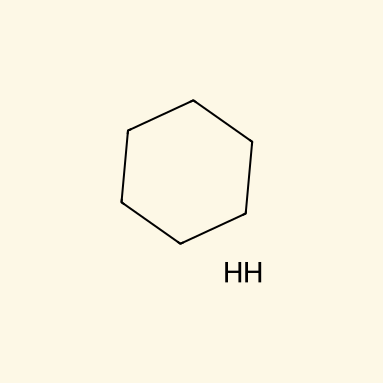 C1CCCCC1.[HH]